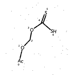 CC(=O)OCOC(=S)S